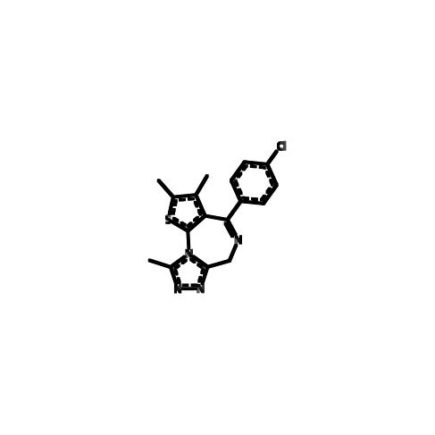 Cc1sc2c(c1C)C(c1ccc(Cl)cc1)=NCc1nnc(C)n1-2